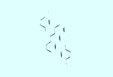 CCCCc1ccc(Oc2c3ccccc3c(Oc3ccc(CCCC)cc3)c3ccccc23)cc1